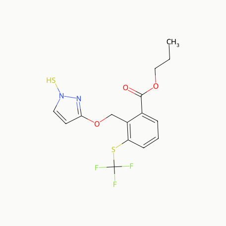 CCCOC(=O)c1cccc(SC(F)(F)F)c1COc1ccn(S)n1